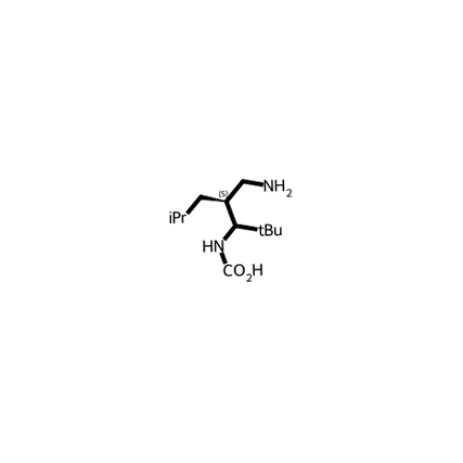 CC(C)C[C@@H](CN)C(NC(=O)O)C(C)(C)C